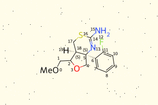 COCC1OC[C@]2(c3ccccc3F)N=C(N)SC[C@H]12